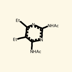 CCc1nc(NC(C)=O)nc(NC(C)=O)c1CC